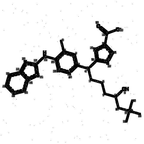 Cc1cc(N(CCCC(O)C[N+](C)(C)C)c2nc(C(=O)[O-])cs2)nnc1Nc1nc2ccccc2s1